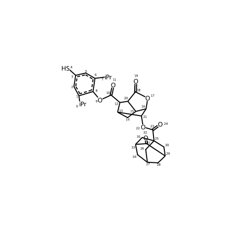 CC(C)c1cc(S)cc(C(C)C)c1OC(=O)C1C2CC3C(OC(=O)C31)C2OC(=O)C12CC3CC(C1)C(=O)C(C3)C2